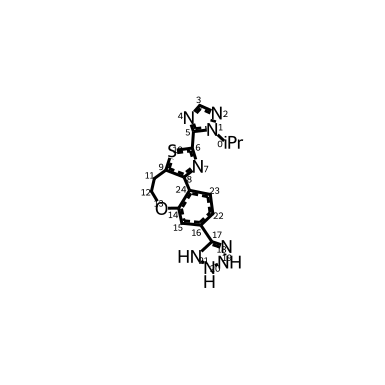 CC(C)n1ncnc1-c1nc2c(s1)CCOc1cc(C3=NNNN3)ccc1-2